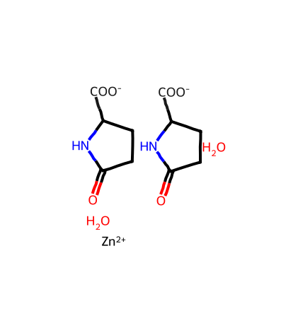 O.O.O=C1CCC(C(=O)[O-])N1.O=C1CCC(C(=O)[O-])N1.[Zn+2]